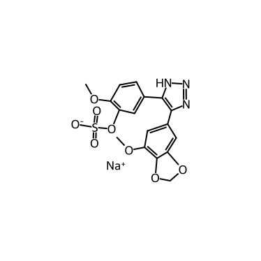 COc1ccc(-c2[nH]nnc2-c2cc(OC)c3c(c2)OCO3)cc1OS(=O)(=O)[O-].[Na+]